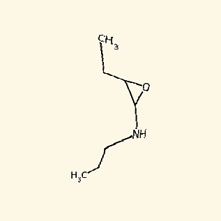 CCCNC1OC1CC